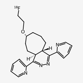 [18F]CCO[C@@H]1CCC[C@@H]2C(c3ccccn3)=NN=C(c3ccccn3)[C@H]2CC1